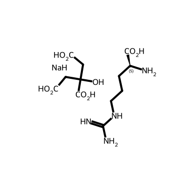 N=C(N)NCCC[C@H](N)C(=O)O.O=C(O)CC(O)(CC(=O)O)C(=O)O.[NaH]